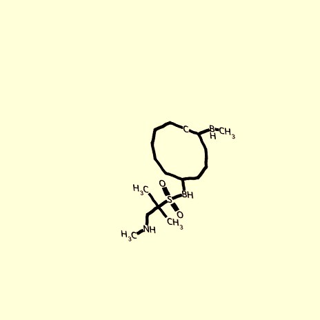 CBC1CCCCCCC(BS(=O)(=O)C(C)(C)CNC)CCC1